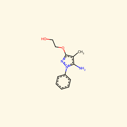 Cc1c(OCCO)nn(-c2ccccc2)c1N